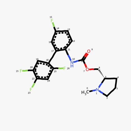 CN1CCC[C@H]1COC(=O)Nc1ccc(F)cc1-c1cc(F)c(F)cc1F